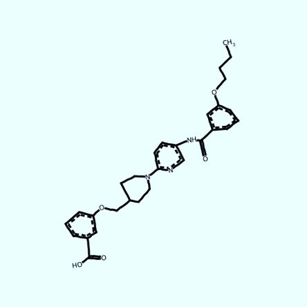 CCCCOc1cccc(C(=O)Nc2ccc(N3CCC(COc4cccc(C(=O)O)c4)CC3)nc2)c1